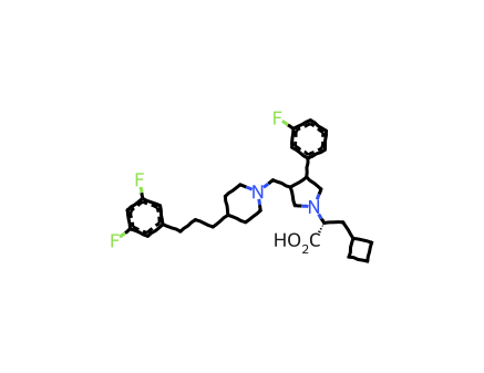 O=C(O)[C@@H](CC1CCC1)N1CC(CN2CCC(CCCc3cc(F)cc(F)c3)CC2)C(c2cccc(F)c2)C1